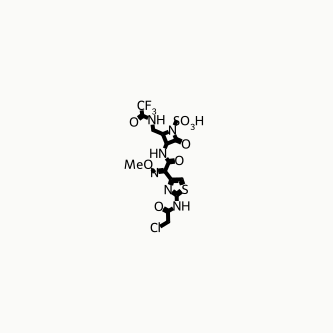 CON=C(C(=O)NC1C(=O)N(S(=O)(=O)O)C1CNC(=O)C(F)(F)F)c1csc(NC(=O)CCl)n1